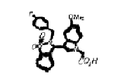 COc1ccc2c(c1)c(C1c3ccccc3S(=O)(=O)N1Cc1ccc(F)cc1)cn2CC(=O)O